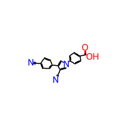 N#Cc1ccc(-c2cn(-c3ccc(C(=O)O)cc3)cc2C#N)cc1